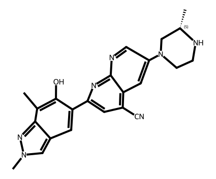 Cc1c(O)c(-c2cc(C#N)c3cc(N4CCN[C@@H](C)C4)cnc3n2)cc2cn(C)nc12